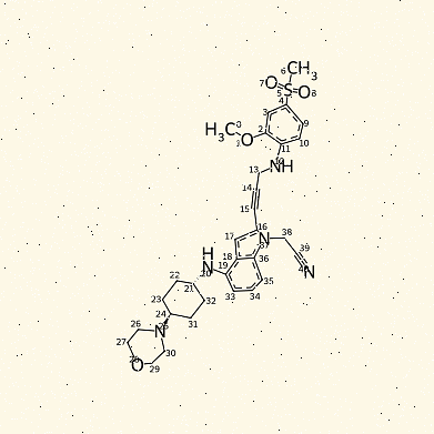 COc1cc(S(C)(=O)=O)ccc1NCC#Cc1cc2c(N[C@H]3CC[C@H](N4CCOCC4)CC3)cccc2n1CC#N